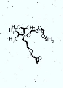 CCO[SiH3].CCO[Si](CCCOCC1CO1)(C(C)C)C(C)C